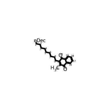 CCCCCCCCCCCCCCCCCCCC1=C(C)C(=O)c2ccccc2C1=O